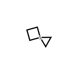 C1CS2(C1)CC2